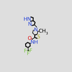 CC1c2scc(C(=O)Nc3cccc(C(F)(F)F)c3)c2CCN1Cc1cnc2[nH]ccc2c1